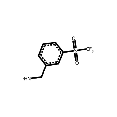 [NH]Cc1cccc(S(=O)(=O)C(F)(F)F)c1